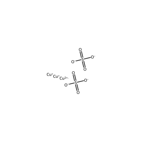 O=S(=O)([O-])[O-].O=S(=O)([O-])[O-].[Cu+2].[Cu+].[Cu+]